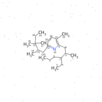 CCCC(CC)C(C)Cc1nc(CC(C)C(C)(C)CC)ccc1C